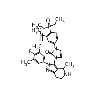 CCP(=O)(CC)c1ccc(-n2ccn(-c3c4c(nn3-c3cc(C)c(F)c(C)c3)CCNC4C)c2=O)cc1NC